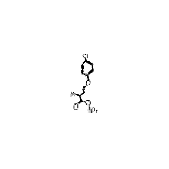 CCCOC(=O)C(Br)CCOc1ccc(Cl)cc1